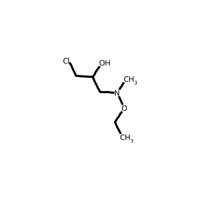 CCON(C)CC(O)CCl